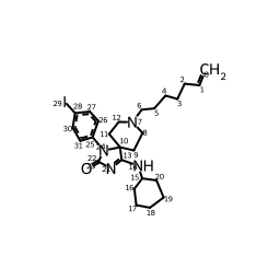 C=CCCCCCN1CCC2(CC1)C(NC1CCCCC1)=NC(=O)N2c1ccc(I)cc1